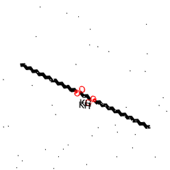 CCCCCCCCCCCCCCCCC=COC(=O)CCC(=O)OC=CCCCCCCCCCCCCCCCC.[KH].[KH]